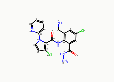 NCc1cc(Cl)cc(C(=O)NN)c1NC(=O)c1c(Cl)ccn1-c1ccccn1